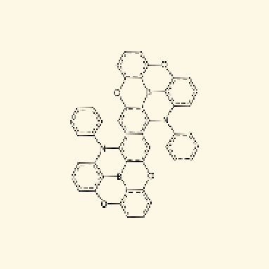 c1ccc(N2c3cccc4c3B3c5c(cccc5Oc5cc6c7c8c(cc6c2c53)Oc2cccc3c2B8c2c(cccc2N7c2ccccc2)O3)O4)cc1